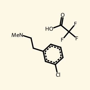 CNCCc1cccc(Cl)c1.O=C(O)C(F)(F)F